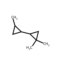 C[C]1CC1C1CC1(C)C